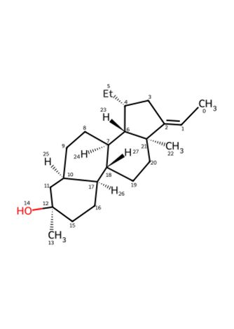 C/C=C1\C[C@@H](CC)[C@H]2[C@@H]3CC[C@@H]4C[C@](C)(O)CC[C@@H]4[C@H]3CC[C@]12C